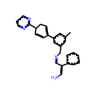 Cc1cc(C/N=C\C(=C/N)c2ccccc2)cc(C2=CCC(c3ncccn3)C=C2)c1